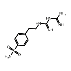 N=C(N)NC(=N)NCCc1ccc(S(N)(=O)=O)cc1